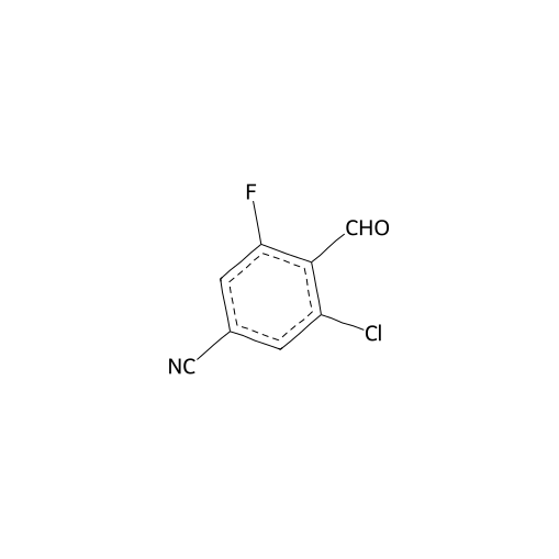 N#Cc1cc(F)c(C=O)c(Cl)c1